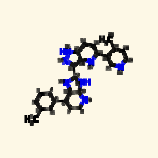 Cc1cccc(-c2ccnc3[nH]c(-c4n[nH]c5ccc(-c6cnccc6C)nc45)nc23)c1